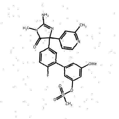 COc1cc(OS(C)(=O)=O)cc(-c2cc(C3(c4ccnc(C)c4)N=C(N)N(C)C3=O)ccc2F)c1